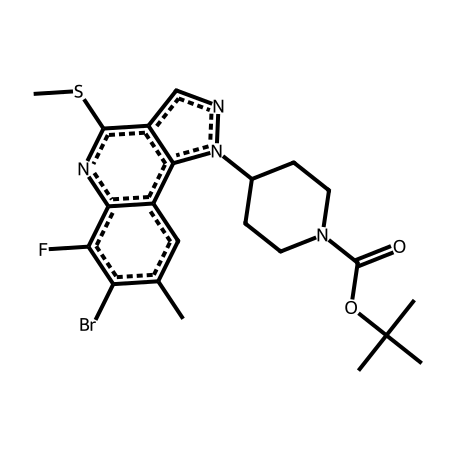 CSc1nc2c(F)c(Br)c(C)cc2c2c1cnn2C1CCN(C(=O)OC(C)(C)C)CC1